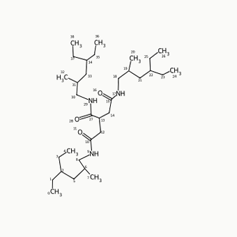 CCC(CC)CC(C)CNC(=O)CC(CC(=O)NCC(C)CC(CC)CC)C(=O)NCC(C)CC(CC)CC